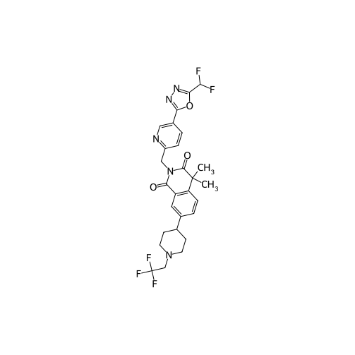 CC1(C)C(=O)N(Cc2ccc(-c3nnc(C(F)F)o3)cn2)C(=O)c2cc(C3CCN(CC(F)(F)F)CC3)ccc21